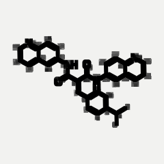 CC(C)c1ccc(C=C(C(=O)Nc2ccc3ncccc3c2)C(=O)Nc2ccc3ncccc3c2)cc1